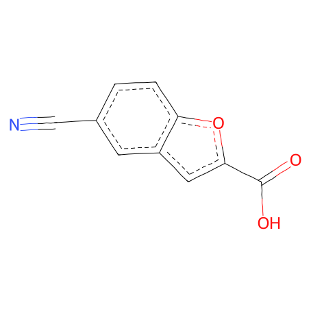 N#Cc1ccc2oc(C(=O)O)cc2c1